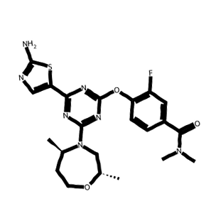 C[C@@H]1CCO[C@@H](C)CN1c1nc(Oc2ccc(C(=O)N(C)C)cc2F)nc(-c2cnc(N)s2)n1